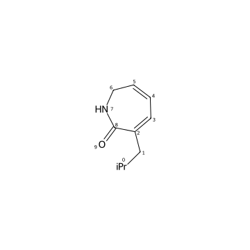 CC(C)CC1=CC=CCNC1=O